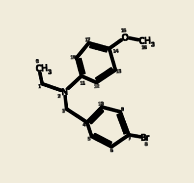 CCN(Cc1ccc(Br)cc1)c1ccc(OC)cc1